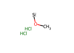 CO[Si].Cl.Cl